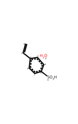 C=Cc1ccc(S(=O)(=O)O)cc1.O